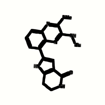 CNc1nc2cccc(-c3cc4c([nH]3)CCNC4=O)c2nc1NC(C)(C)C